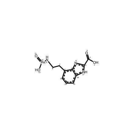 O=C(O)c1nc2c(CCN[PH](=O)O)cccc2[nH]1